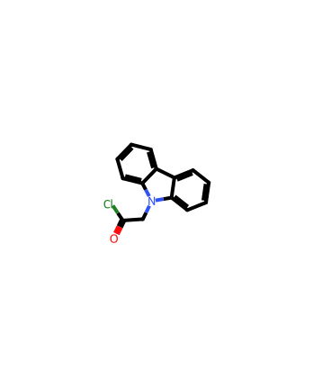 O=C(Cl)Cn1c2ccccc2c2ccccc21